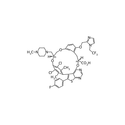 Cc1c(Cl)c2c(Cl)c(C)c1-c1c(-c3ccc(F)cc3)sc3ncnc(c13)O[C@@H](C(=O)O)Cc1cc(ccc1OCc1nccn1CC(F)(F)F)OC[C@@H](CN1CCN(C)CC1)O2